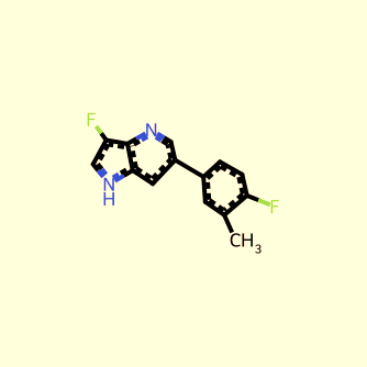 Cc1cc(-c2cnc3c(F)c[nH]c3c2)ccc1F